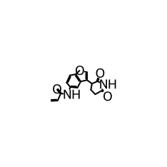 C=CC(=O)Nc1ccc2occ(C3CCC(=O)NC3=O)c2c1